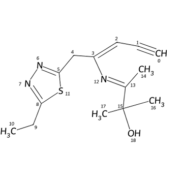 C#C/C=C(Cc1nnc(CC)s1)\N=C(/C)C(C)(C)O